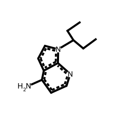 CCC(CC)n1ccc2c(N)ccnc21